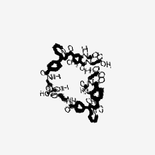 Cc1c(-c2ccc(C(=O)NCCO[PH](O)(O)OCCNC(=O)c3ccc(-c4c(C)c(C(=O)c5ccc6c(=O)n(CC(=O)O)c(=O)[nH]c6c5)n5ccccc45)cc3)cc2)c2ccccn2c1C(=O)c1ccc2c(=O)n(CC(=O)O)c(=O)[nH]c2c1